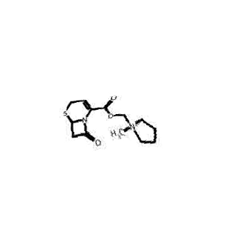 C[N+]1(COC(=O)C2=CCSC3CC(=O)N23)CCCC1